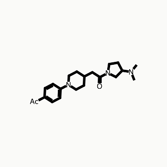 CC(=O)c1ccc(N2CCC(CC(=O)N3CCC(N(C)C)C3)CC2)cc1